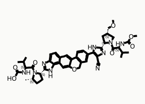 COC[C@H]1C[C@@H](c2nc(C#N)c(-c3ccc4c(c3)COc3cc5c(ccc6nc([C@@H]7CC[C@H](C)N7C(=O)[C@@H](NC(=O)O)C(C)C)[nH]c65)cc3-4)[nH]2)N(C(=O)[C@@H](NC(=O)OC)C(C)C)C1